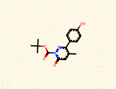 Cc1cc(=O)n(C(=O)OC(C)(C)C)nc1-c1ccc(O)cc1